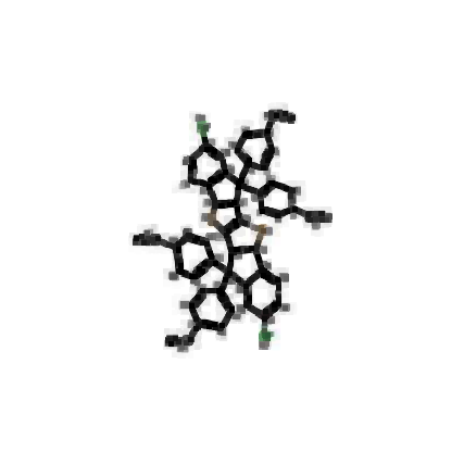 COc1ccc(C2(c3ccc(OC)cc3)c3cc(Br)ccc3-c3sc4c5c(sc4c32)-c2ccc(Br)cc2C5(c2ccc(OC)cc2)c2ccc(OC)cc2)cc1